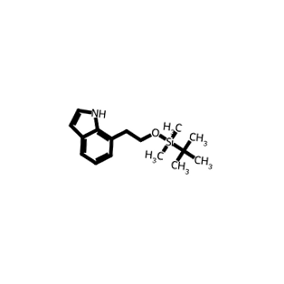 CC(C)(C)[Si](C)(C)OCCc1cccc2cc[nH]c12